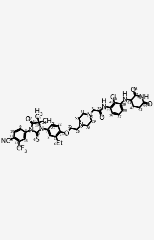 CCc1cc(N2C(=S)N(c3ccc(C#N)c(C(F)(F)F)c3)C(=O)C2(C)C)ccc1OCCN1CCN(CC(=O)Nc2cccc(NC3CCC(=O)NC3=O)c2Cl)CC1